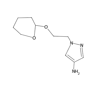 Nc1cnn(CCOC2CCCCO2)c1